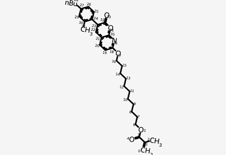 C=C(C)C(=O)OCCCCCCCCCCCOc1ccc2cc(-c3ccc(CCCC)cc3C)c(=O)oc2n1